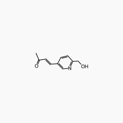 CC(=O)/C=C/c1ccc(CO)nc1